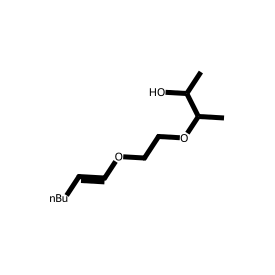 CCCCC=COCCOC(C)C(C)O